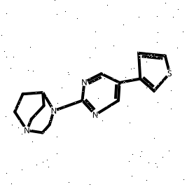 c1cc(-c2cnc(N3CCN4CCC3CC4)nc2)cs1